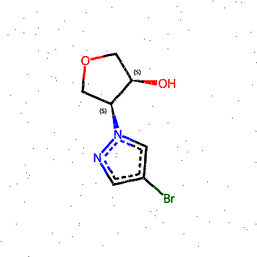 O[C@@H]1COC[C@@H]1n1cc(Br)cn1